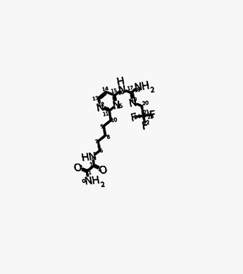 NC(=O)C(=O)NCCCCCc1nccc(NC(N)=NCC(F)(F)F)n1